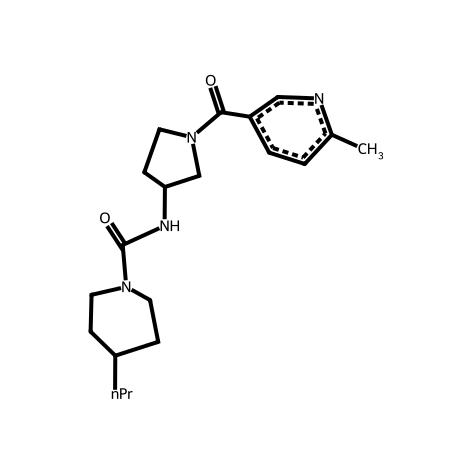 CCCC1CCN(C(=O)NC2CCN(C(=O)c3ccc(C)nc3)C2)CC1